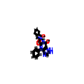 O=C1c2ccccc2C[N+]1([O-])Cn1c(=O)c2[nH]cnc2n(-c2ccccc2)c1=O